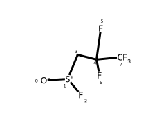 [O-][S+](F)CC(F)(F)C(F)(F)F